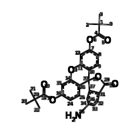 CC(C)(C)C(=O)Oc1ccc2c(c1)Oc1cc(OC(=O)C(C)(C)C)ccc1C21OC(=O)c2ccc(N)cc21